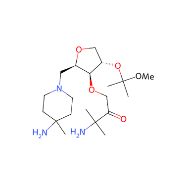 COC(C)(C)O[C@H]1CO[C@H](CN2CCC(C)(N)CC2)[C@@H]1OCC(=O)C(C)(C)N